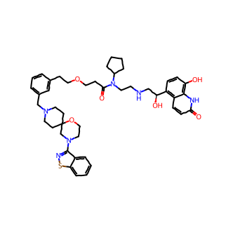 O=C(CCOCCc1cccc(CN2CCC3(CC2)CN(c2nsc4ccccc24)CCO3)c1)N(CCNC[C@H](O)c1ccc(O)c2[nH]c(=O)ccc12)C1CCCC1